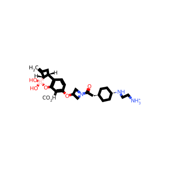 C=C1C[C@@H]2c3ccc(OC4CN(C(=O)C[C@H]5CC[C@@H](NCC[NH3+])CC5)C4)c(C(=O)O)c3O[B-](O)(O)[C@H]12